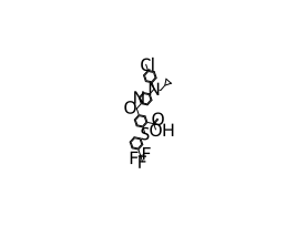 O=C(c1ccc(Sc2cccc(C(F)(F)F)c2)c(C(=O)O)c1)c1ccc(N(CC2CC2)c2ccc(Cl)cc2)cn1